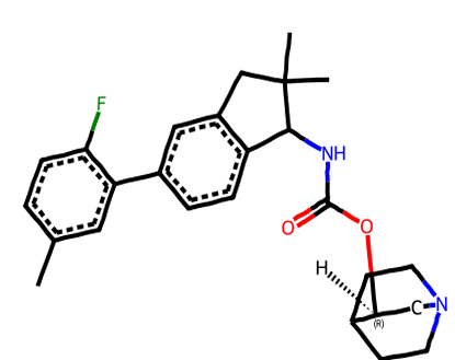 Cc1ccc(F)c(-c2ccc3c(c2)CC(C)(C)C3NC(=O)O[C@H]2CN3CCC2CC3)c1